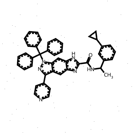 CC(NC(=O)c1nc2cc3c(-c4ccncc4)nn(C(c4ccccc4)(c4ccccc4)c4ccccc4)c3cc2[nH]1)c1cccc(C2CC2)c1